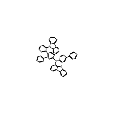 c1ccc(-c2ccc(N(c3ccc(-c4ccccc4-n4c5ccccc5c5ccccc54)c(-c4ccccc4)c3)c3cccc4c3sc3ccccc34)cc2)cc1